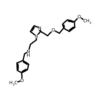 COc1ccc(CNCCn2ccnc2COCc2ccc(OC)cc2)cc1